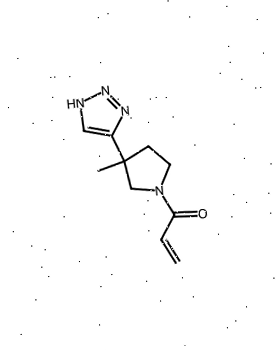 C=CC(=O)N1CCC(C)(c2c[nH]nn2)C1